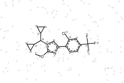 COc1nc(-c2ccc(C(F)(F)F)cc2Cl)cn1C(C1CC1)C1CC1